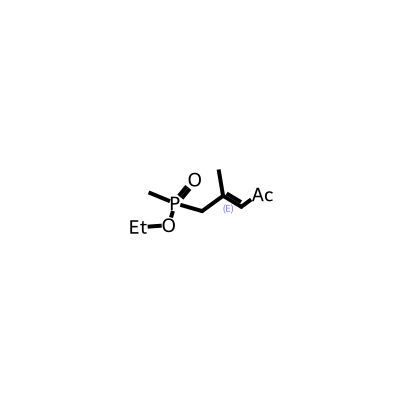 CCOP(C)(=O)C/C(C)=C/C(C)=O